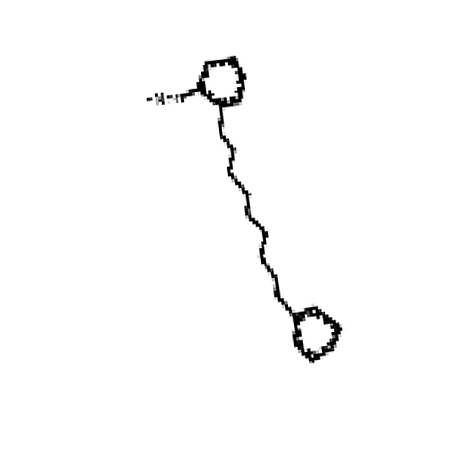 CCCCCCCCCc1ccc[c]c1CCCCCCCCCc1ccccc1